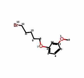 COc1cccc(OCCCCCBr)c1